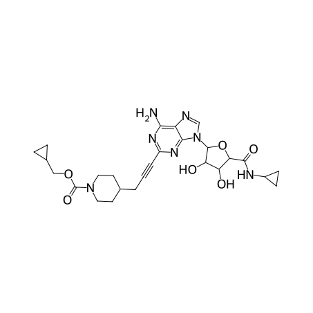 Nc1nc(C#CCC2CCN(C(=O)OCC3CC3)CC2)nc2c1ncn2C1OC(C(=O)NC2CC2)C(O)C1O